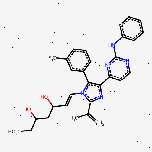 C=C(C)c1nc(-c2ccnc(Nc3ccccc3)n2)c(-c2cccc(C(F)(F)F)c2)n1/C=C/C(O)CC(O)CC(=O)O